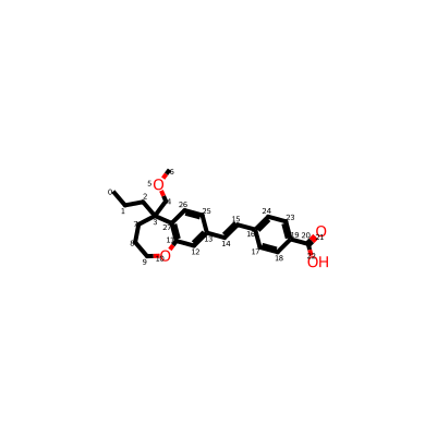 CCCC1(COC)CCCOc2cc(/C=C/c3ccc(C(=O)O)cc3)ccc21